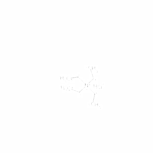 CC[N+](CC)(CC)CC.Cl